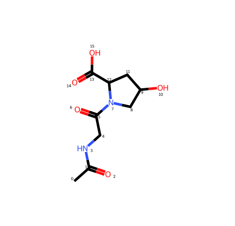 CC(=O)NCC(=O)N1CC(O)CC1C(=O)O